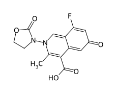 Cc1c(C(=O)O)c2cc(=O)cc(F)c-2cn1N1CCOC1=O